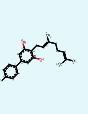 CC(C)=CCC/C(C)=C/Cc1c(O)cc(-c2ccc(C(F)(F)F)cc2)cc1O